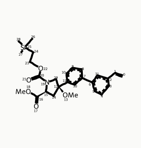 C=Cc1cccc(-c2cccc([C@]3(OC)C[C@@H](C(=O)OC)N(C(=O)OCC[Si](C)(C)C)C3)c2)c1